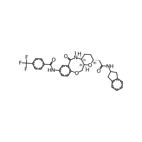 CN1C(=O)c2cc(NC(=O)c3ccc(C(F)(F)F)cc3)ccc2OC[C@@H]2O[C@@H](CC(=O)NC3Cc4ccccc4C3)CC[C@@H]21